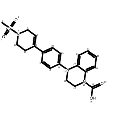 CS(=O)(=O)N1CC=C(c2ccc(N3CCN(C(=O)O)c4ccccc43)cc2)CC1